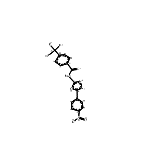 O=C(Nc1nnc(-c2ccc([N+](=O)[O-])cc2)o1)c1ccc(C(F)(F)F)cc1